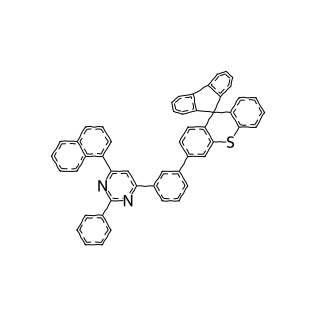 c1ccc(-c2nc(-c3cccc(-c4ccc5c(c4)Sc4ccccc4C54c5ccccc5-c5ccccc54)c3)cc(-c3cccc4ccccc34)n2)cc1